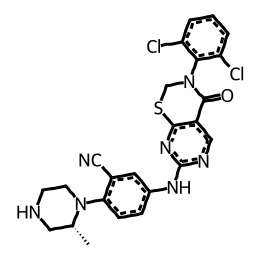 C[C@@H]1CNCCN1c1ccc(Nc2ncc3c(n2)SCN(c2c(Cl)cccc2Cl)C3=O)cc1C#N